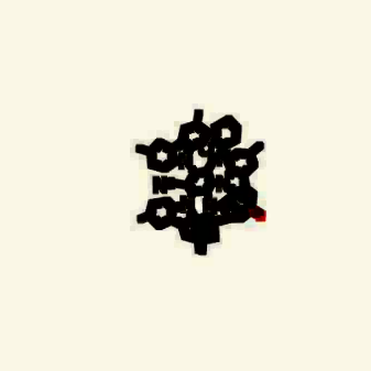 Cc1ccc2c(c1)c1cc(C)ccc1n2-c1c(C#N)c(-n2c3ccc(C)cc3c3cc(C)ccc32)c(-n2c3ccc(C)cc3c3cc(C)ccc32)c(-n2c3ccc(C)cc3c3cc(C)ccc32)c1-c1nc2ccccc2o1